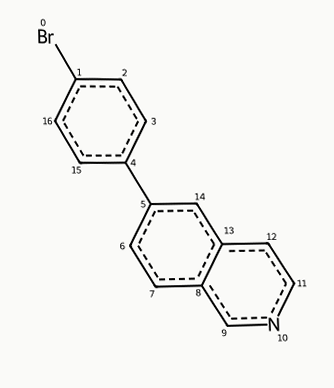 Brc1ccc(-c2ccc3cnccc3c2)cc1